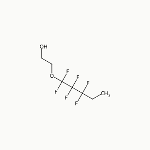 CCC(F)(F)C(F)(F)C(F)(F)OCCO